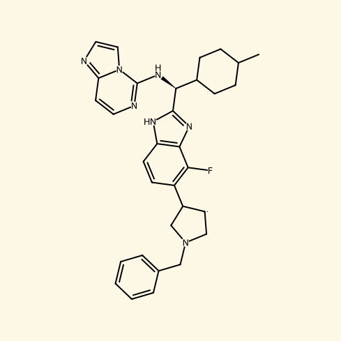 CC1CCC([C@H](Nc2nccc3nccn23)c2nc3c(F)c(C4[CH]CN(Cc5ccccc5)C4)ccc3[nH]2)CC1